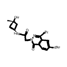 CC(C)c1nn(CC(=O)N[C@H]2C[C@@](C)(O)C2)c(=O)c2ccc(C(C)(C)C)cc12